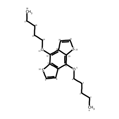 CCCCCOc1c2ccsc2c(OCCCCC)c2ccsc12